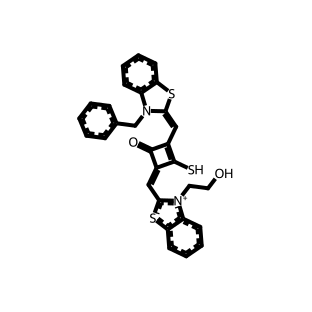 O=C1C(/C=C2/Sc3ccccc3N2Cc2ccccc2)=C(S)C/1=C\c1sc2ccccc2[n+]1CCO